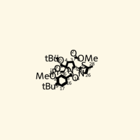 COC(=O)[C@H]1C[C@@](CC(C)C)(C(=O)OC(C)(C)C)N(C(=O)c2ccc(C(C)(C)C)c(OC)c2)[C@H]1c1ncc(C)s1